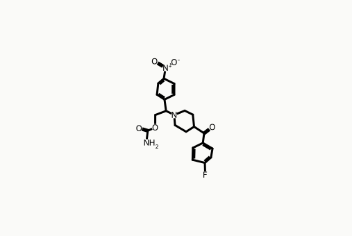 NC(=O)OCC(c1ccc([N+](=O)[O-])cc1)N1CCC(C(=O)c2ccc(F)cc2)CC1